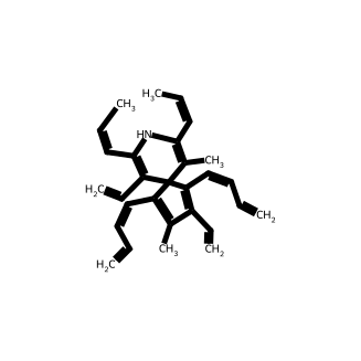 C=C/C=C\C1=C(C)C(C=C)=C(/C=C\C=C)C12C(C)=C(/C=C\C)NC(/C=C\C)=C2C=C